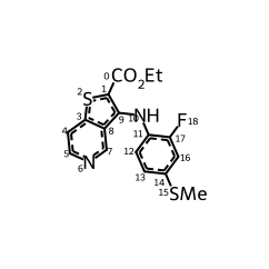 CCOC(=O)c1sc2ccncc2c1Nc1ccc(SC)cc1F